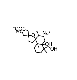 C[C@H]1CCC2(O)C(C)(CO)CCC[C@]2(C)[C@@]12CC[C@](CO)(CC(=O)[O-])O2.[Na+]